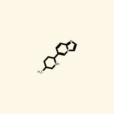 CC1CCC(c2ccc3nccn3c2)NC1